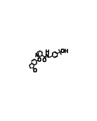 CC(C)(O)c1ccc(CNC(=O)c2cccnc2Oc2ccc3c(c2)C(=O)CC3)cc1